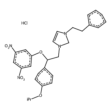 CC(C)Oc1ccc(C(CN2C=CN(CCc3ccccc3)C2)Oc2cc([N+](=O)[O-])cc([N+](=O)[O-])c2)cc1.Cl